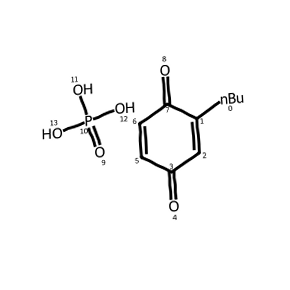 CCCCC1=CC(=O)C=CC1=O.O=P(O)(O)O